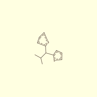 CC(C)C(c1cccs1)c1cccs1